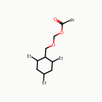 CCC1CC(CC)C(COCOC(=O)C(C)C)C(CC)C1